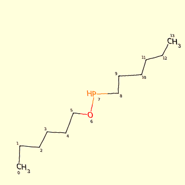 CCCCCCOPCCCCCC